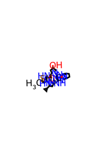 Cc1cnc(NC(=O)C2CC(O)CN2c2nc(Nc3cc(C4CC4)[nH]n3)nc(N3C4CCC3CN(C)C4)n2)s1